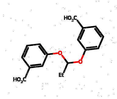 CCC(Oc1cccc(C(=O)O)c1)Oc1cccc(C(=O)O)c1